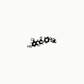 CC(C)(C)[Si](C)(C)OC1CCC(N2CC[C@@H](Cc3c(Cl)cc(O)cc3Cl)C2=O)CC1